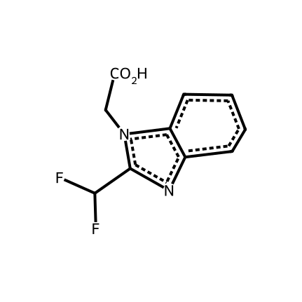 O=C(O)Cn1c(C(F)F)nc2ccccc21